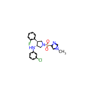 Cn1cnc(S(=O)(=O)N2C[C@H](Nc3cccc(Cl)c3)[C@@H](c3ccccc3F)C2)c1